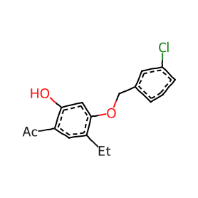 CCc1cc(C(C)=O)c(O)cc1OCc1cccc(Cl)c1